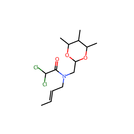 C/C=C/CN(CC1OC(C)C(C)C(C)O1)C(=O)C(Cl)Cl